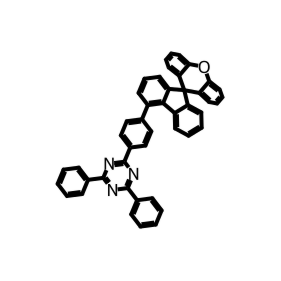 c1ccc(-c2nc(-c3ccccc3)nc(-c3ccc(-c4cccc5c4-c4ccccc4C54c5ccccc5Oc5ccccc54)cc3)n2)cc1